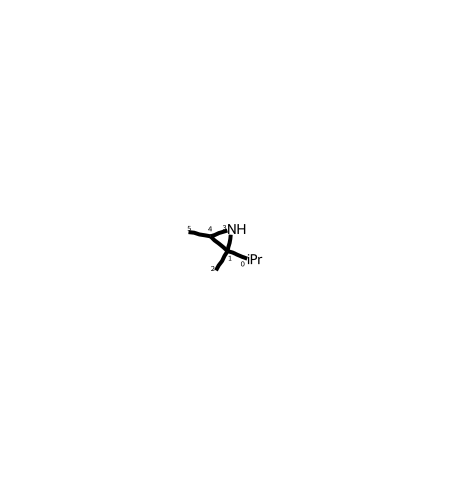 CC(C)C1(C)NC1C